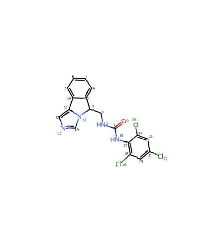 O=C(NCC1c2ccccc2-c2cncn21)Nc1c(Cl)cc(Cl)cc1Cl